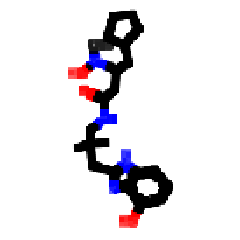 CC(C)(CNC(=O)CC(CC1CCCC1)N(O)C=O)Cc1nc2c(O)cccc2[nH]1